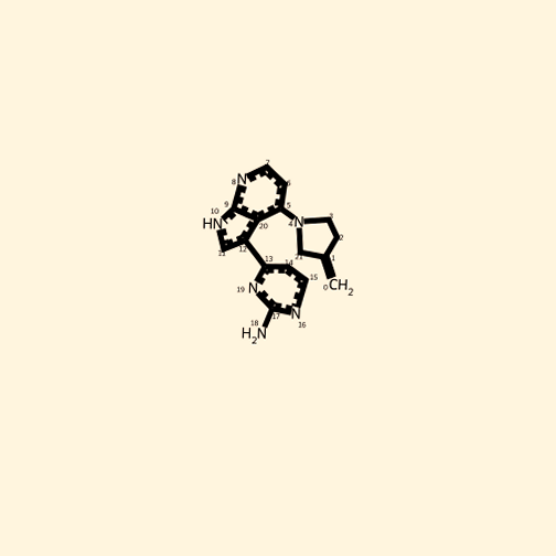 C=C1CCN(c2ccnc3[nH]cc(-c4ccnc(N)n4)c23)C1